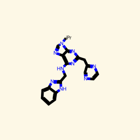 CC(C)n1cnc2c(NCc3nc4ccccc4[nH]3)nc(Cc3cnccn3)nc21